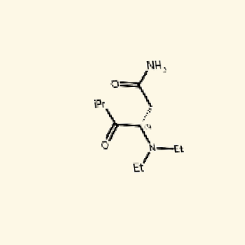 CCN(CC)[C@@H](CC(N)=O)C(=O)C(C)C